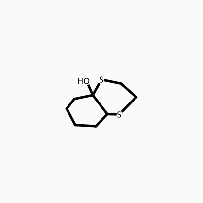 OC12CCCCC1SCCS2